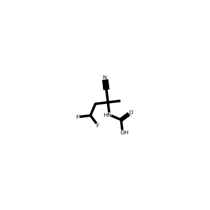 CC(C#N)(CC(F)F)NC(=O)O